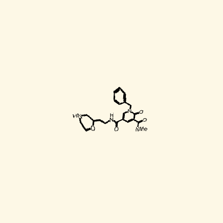 CNC(=O)c1cc(C(=O)NCCC2CNCCO2)cn(Cc2ccccc2)c1=O